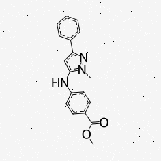 COC(=O)c1ccc(Nc2cc(-c3ccccc3)nn2C)cc1